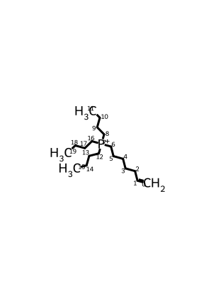 C=CCCCCC[P+](CCCC)(CCCC)CCCC